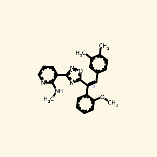 CNc1ncccc1-c1noc(/C(=C\c2ccc(C)c(C)c2)c2ccccc2OC)n1